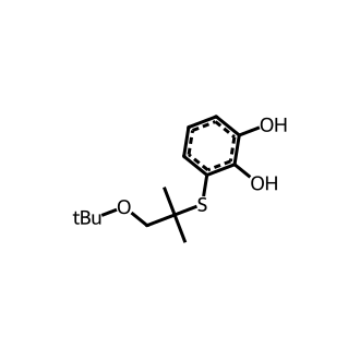 CC(C)(C)OCC(C)(C)Sc1cccc(O)c1O